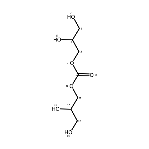 O=C(OCC(O)CO)OCC(O)CO